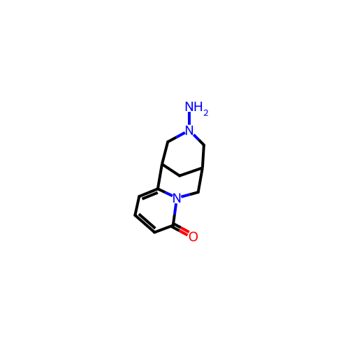 NN1CC2CC(C1)c1cccc(=O)n1C2